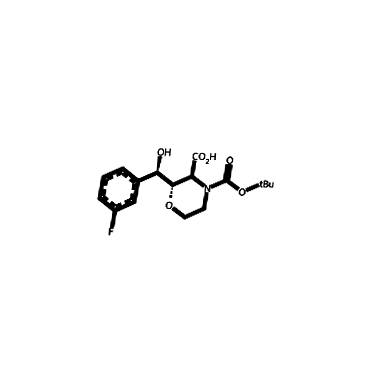 CC(C)(C)OC(=O)N1CCO[C@H]([C@H](O)c2cccc(F)c2)C1C(=O)O